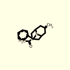 C=C1CC2CN(C(C)=O)CC(C1)N2Cc1ccccc1